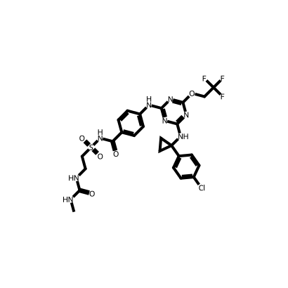 CNC(=O)NCCS(=O)(=O)NC(=O)c1ccc(Nc2nc(NC3(c4ccc(Cl)cc4)CC3)nc(OCC(F)(F)F)n2)cc1